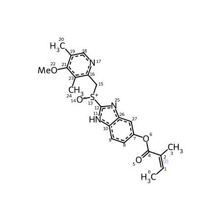 C/C=C(/C)C(=O)Oc1ccc2[nH]c([S+]([O-])Cc3ncc(C)c(OC)c3C)nc2c1